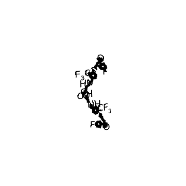 O=[PH](OCCCNCc1ccc(SCCCCC2(c3ccc(F)cc3)COC2)c(C(F)(F)F)c1)OCCCNCc1ccc(SCCCCC2(c3ccc(F)cc3)COC2)c(C(F)(F)F)c1